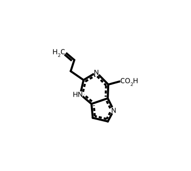 C=CCc1nc(C(=O)O)c2nccc-2[nH]1